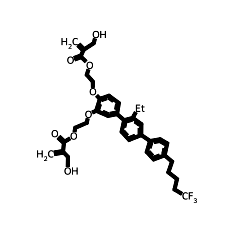 C=C(CO)C(=O)OCCOc1ccc(-c2ccc(-c3ccc(CCCCC(F)(F)F)cc3)cc2CC)cc1OCCOC(=O)C(=C)CO